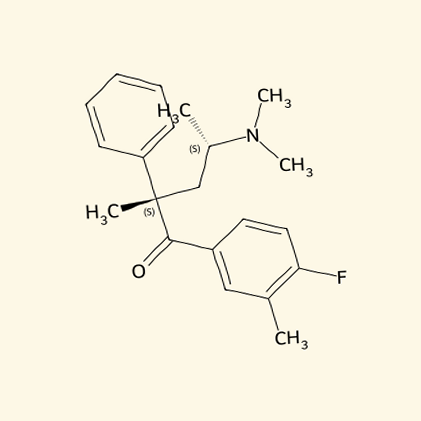 Cc1cc(C(=O)[C@@](C)(C[C@H](C)N(C)C)c2ccccc2)ccc1F